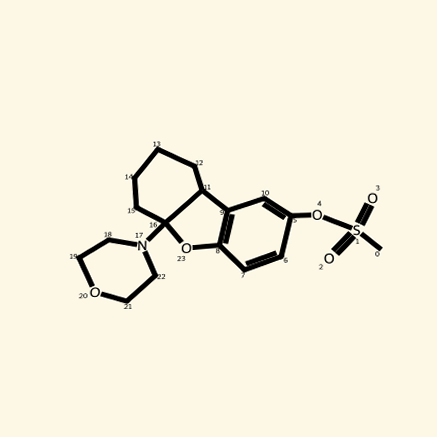 CS(=O)(=O)Oc1ccc2c(c1)C1CCCCC1(N1CCOCC1)O2